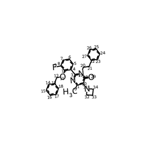 Cc1nc(-c2cccc(F)c2OCc2ccccc2)n(CCc2ccccc2)c(=O)c1N1CCC1